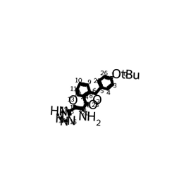 CC(C)(C)Oc1ccc(C(=O)c2cccc3oc(-c4nnn[nH]4)c(N)c(=O)c23)cc1